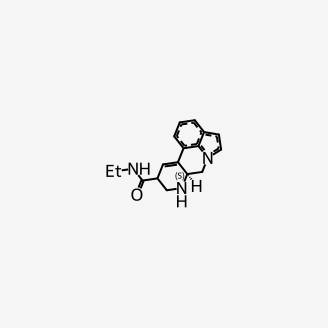 CCNC(=O)C1C=C2c3cccc4ccn(c34)C[C@H]2NC1